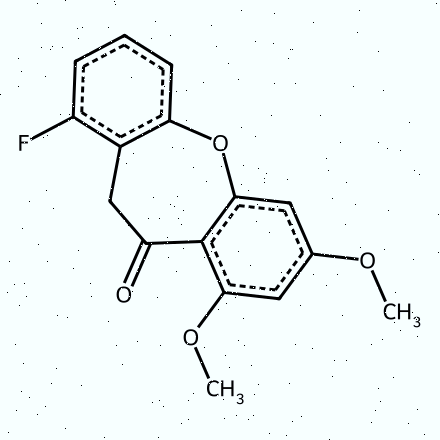 COc1cc(OC)c2c(c1)Oc1cccc(F)c1CC2=O